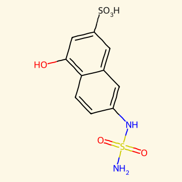 NS(=O)(=O)Nc1ccc2c(O)cc(S(=O)(=O)O)cc2c1